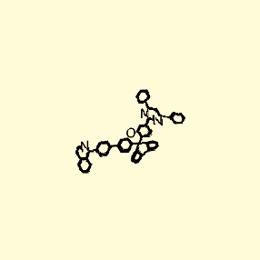 c1ccc(-c2cc(-c3ccccc3)nc(-c3ccc4c(c3)Oc3cc(-c5ccc(-c6nccc7ccccc67)cc5)ccc3C43c4ccccc4-c4ccccc43)n2)cc1